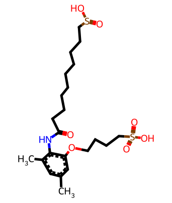 Cc1cc(C)c(NC(=O)CCCCCCCCCS(=O)O)c(OCCCCS(=O)(=O)O)c1